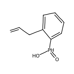 C=CCc1ccccc1[PH](=O)O